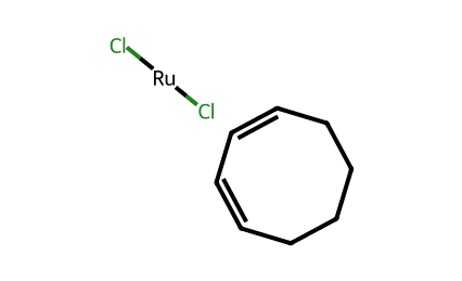 C1=CCCCCC=C1.[Cl][Ru][Cl]